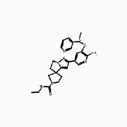 CCNC(=O)N1CCC2(CCn3nc(-c4cnc(N)c(O[C@H](C)c5cccnc5)c4)cc32)C1